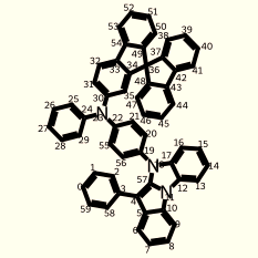 c1ccc(-c2c3ccccc3n3c4ccccc4n(-c4ccc(N(c5ccccc5)c5ccc6c(c5)C5(c7ccccc7-c7ccccc75)c5ccccc5-6)cc4)c23)cc1